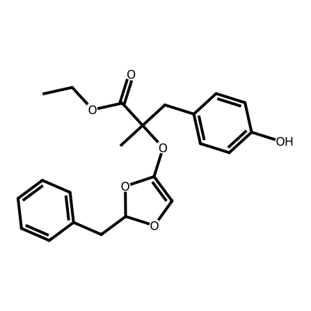 CCOC(=O)C(C)(Cc1ccc(O)cc1)OC1=COC(Cc2ccccc2)O1